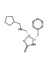 O=C1N[C@@H](Cc2ccccc2)[C@@H](CNCC2CCCC2)O1